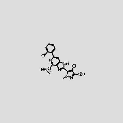 COc1nc(-c2ccccc2Cl)cc2[nH]c(-c3c(Cl)c(C(C)(C)C)nn3C)nc12.[K+]